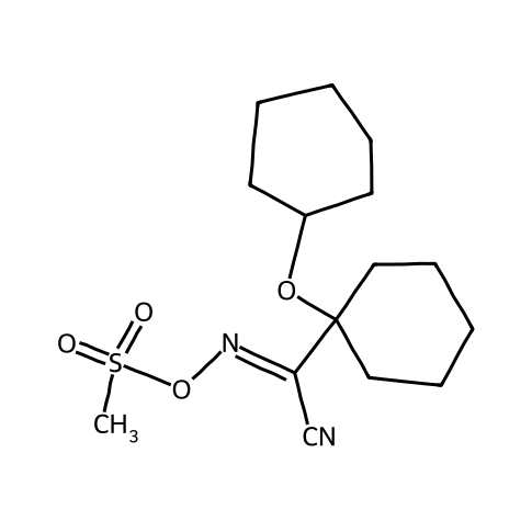 CS(=O)(=O)ON=C(C#N)C1(OC2CCCCC2)CCCCC1